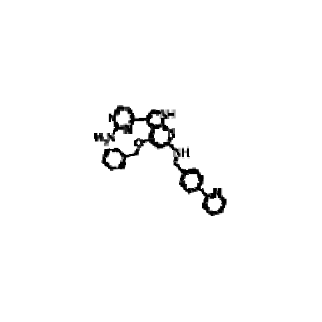 Nc1nccc(-c2c[nH]c3nc(NCc4ccc(-c5ccccn5)cc4)cc(OCc4ccccc4)c23)n1